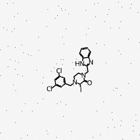 O=C1C(I)N(Cc2cc(Cl)cc(Cl)c2)CCN1Cc1nc2ccccc2[nH]1